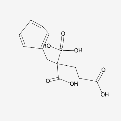 O=C(O)CCC(Cc1ccccc1)(C(=O)O)P(=O)(O)O